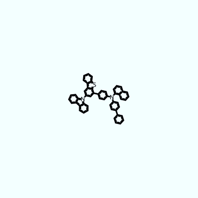 c1ccc(-c2ccc(N(c3ccc(-c4cc(-n5c6ccccc6c6ccccc65)cc5c4sc4ccccc45)cc3)c3cccc4ccccc34)cc2)cc1